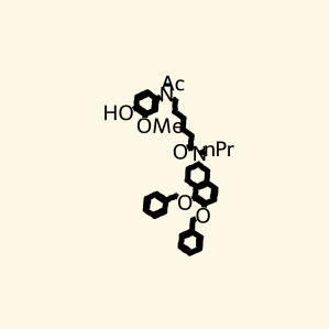 CCCN(C(=O)CCCCCN(C(C)=O)c1ccc(O)c(OC)c1)[C@H]1CCc2c(ccc(OCc3ccccc3)c2OCc2ccccc2)C1